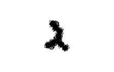 c1ccc(-c2ccc(-c3nc(-c4ccc(-c5cccc(-c6ccc7c(c6)oc6ccccc67)c5)cc4)nc(-c4ccc5c(c4)sc4ccccc45)n3)cc2)cc1